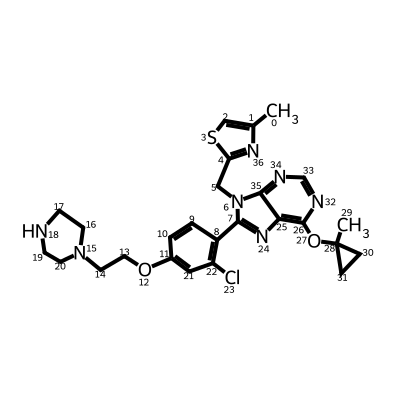 Cc1csc(Cn2c(-c3ccc(OCCN4CCNCC4)cc3Cl)nc3c(OC4(C)CC4)ncnc32)n1